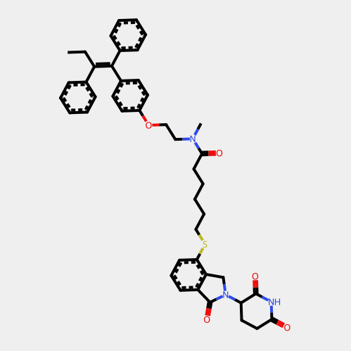 CCC(=C(c1ccccc1)c1ccc(OCCN(C)C(=O)CCCCCSc2cccc3c2CN(C2CCC(=O)NC2=O)C3=O)cc1)c1ccccc1